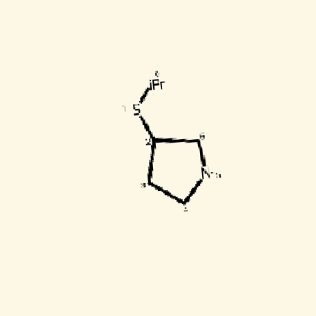 CC(C)SC1CC[N]C1